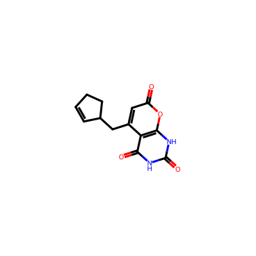 O=c1[nH]c(=O)c2c(CC3C=CCC3)cc(=O)oc2[nH]1